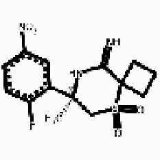 C[C@@]1(c2cc([N+](=O)[O-])ccc2F)CS(=O)(=O)C2(CCC2)C(=N)N1